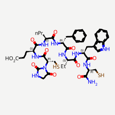 CCC[C@H](NC(=O)[C@H](CCC(=O)O)NC(=O)[C@H](CS)N1C(=O)CNC1=O)C(=O)N[C@H](Cc1ccccc1)C(=O)N[C@@H](CC)C(=O)N[C@@H](Cc1c[nH]c2ccccc12)C(=O)N[C@@H](CS)C(N)=O